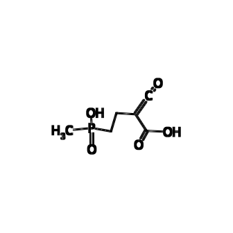 CP(=O)(O)CCC(=C=O)C(=O)O